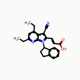 CCc1cc(CC)c2c(C#N)c(C=CC(=O)O)n(C3CCc4ccccc43)c2n1